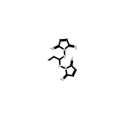 CCC(ON1C(=O)C=CC1=O)ON1C(=O)C=CC1=O